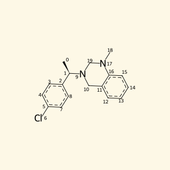 C[C@H](c1ccc(Cl)cc1)N1Cc2ccccc2N(C)C1